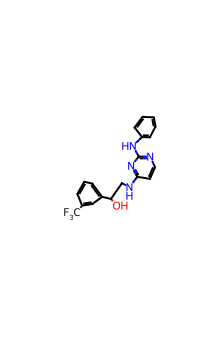 OC(CNc1ccnc(Nc2ccccc2)n1)c1cccc(C(F)(F)F)c1